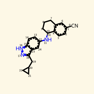 N#Cc1ccc2c(c1)CCC[C@@H]2Nc1ccc2[nH]nc(CC3CC3)c2c1